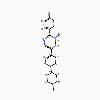 CCCCc1ccc(C2=NC=C(C3=CCC(C4CCC(C)CC4)CC3)CN2C)cc1